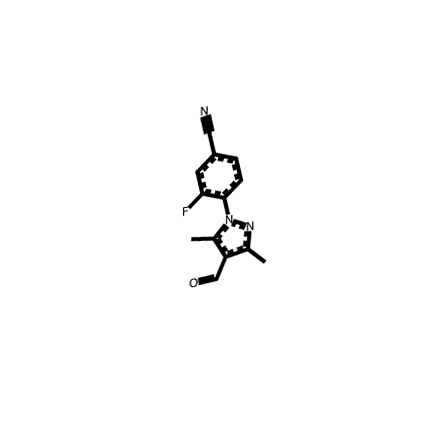 Cc1nn(-c2ccc(C#N)cc2F)c(C)c1C=O